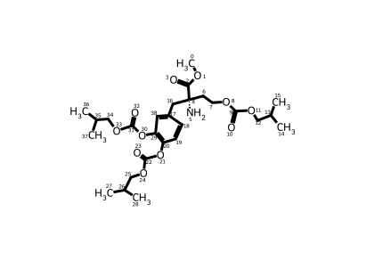 COC(=O)[C@@](N)(CCOC(=O)OCC(C)C)Cc1ccc(OC(=O)OCC(C)C)c(OC(=O)OCC(C)C)c1